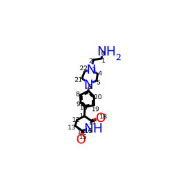 NCCN1CCN(c2ccc(C3CCC(=O)NC3=O)cc2)CC1